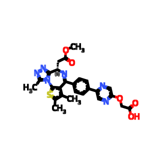 COC(=O)C[C@@H]1N=C(c2ccc(-c3cnc(OCC(=O)O)cn3)cc2)c2c(sc(C)c2C)-n2c(C)nnc21